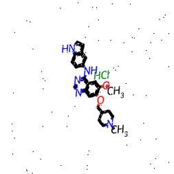 COc1cc2c(Nc3ccc4[nH]ccc4c3)ncnc2cc1OCC1CCN(C)CC1.Cl